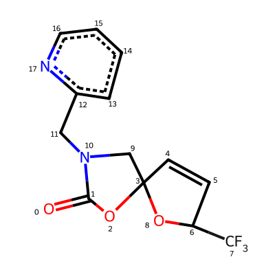 O=C1OC2(C=CC(C(F)(F)F)O2)CN1Cc1ccccn1